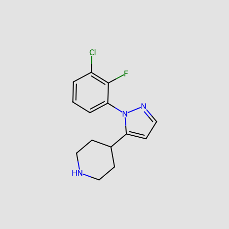 Fc1c(Cl)cccc1-n1nccc1C1CCNCC1